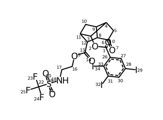 O=C(OC1C2CC(=O)C3C2CC1C3C(=O)OCCNS(=O)(=O)C(F)(F)F)c1cc(I)cc(I)c1I